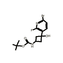 CC(C)(C)OC(=O)NC1CC(O)(c2ccc(Br)nc2F)C1